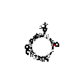 CC[C@H](C)[C@@H]1NC(=O)[C@H](CC)N(C)C(=O)C[C@@H](C(=O)N2CCCCC2)N(C)C(=O)[C@H](C2CCCCC2)N(C)C(=O)C2(CCCC2)NC(=O)[C@@H]2CCCN2C(=O)[C@H](CCc2ccc(C(F)(F)F)c(Cl)c2)NC(=O)CN(C)C(=O)[C@H](CC2CCCCC2)N(C)C(=O)CN(C)C(=O)CN(C)C1=O